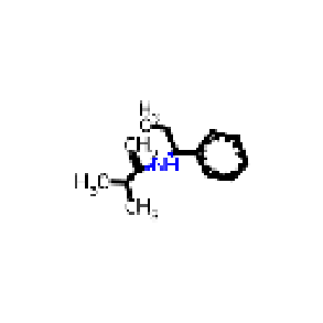 C=C(NC(CC)c1ccccc1)C(C)C